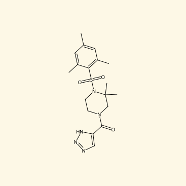 Cc1cc(C)c(S(=O)(=O)N2CCN(C(=O)c3cnn[nH]3)CC2(C)C)c(C)c1